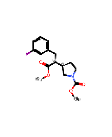 CC(C)(C)OC(=O)[C@@H](Cc1cccc(I)c1)[C@H]1CCN(C(=O)OC(C)(C)C)C1